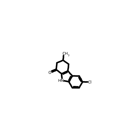 CC1CC(=O)c2[nH]c3ccc(Cl)cc3c2C1